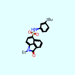 CCN1C(=O)c2cccc3c(S(=O)(=O)Nc4cccc(C(C)(C)C)c4)ccc1c23